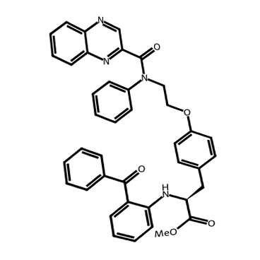 COC(=O)[C@H](Cc1ccc(OCCN(C(=O)c2cnc3ccccc3n2)c2ccccc2)cc1)Nc1ccccc1C(=O)c1ccccc1